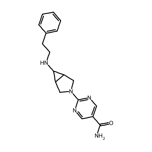 NC(=O)c1cnc(N2CC3C(C2)C3NCCc2ccccc2)nc1